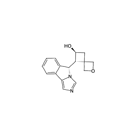 O[C@H]1CC2(COC2)[C@@H]1[C@H]1c2ccccc2-c2cncn21